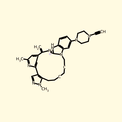 C#CN1CCN(c2ccc3c(c2)N2CCCCCCc4c(cnn4C)-c4cc(cc(C)n4)C(=C)/N=C/2N3)CC1